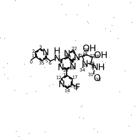 Cc1ccnc(CNc2nc(-c3cncc(F)c3)nc3c2ncn3[C@H]2[C@H](O)[C@H](O)[C@@H](NC=O)N2C)c1